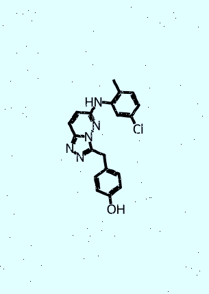 Cc1ccc(Cl)cc1Nc1ccc2nnc(Cc3ccc(O)cc3)n2n1